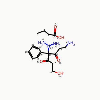 CCCC(=O)O.NCCC(=O)C(C(=O)CCO)(c1ccccc1)N(N)N